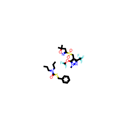 CCCN(CCC)C(=O)SCc1ccccc1.Cn1nc(C(F)(F)F)c(CS(=O)(=O)C2=NOC(C)(C)C2)c1OC(F)F